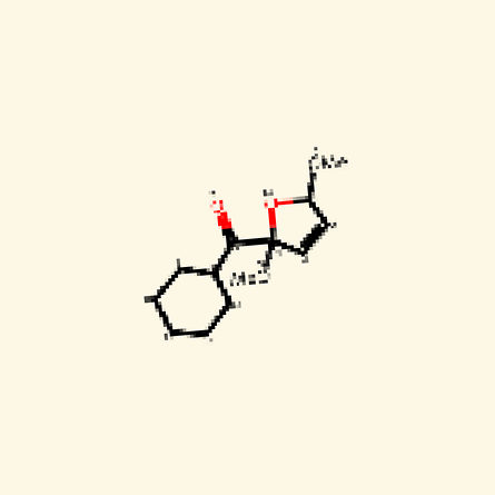 COC1C=CC(OC)(C(=O)C2CCCCC2)O1